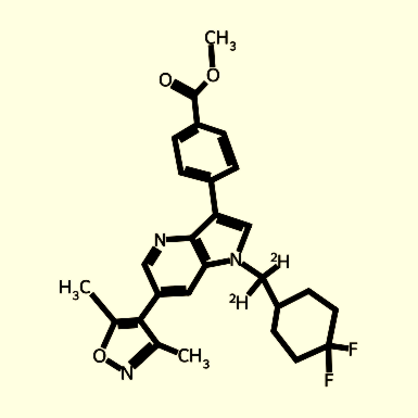 [2H]C([2H])(C1CCC(F)(F)CC1)n1cc(-c2ccc(C(=O)OC)cc2)c2ncc(-c3c(C)noc3C)cc21